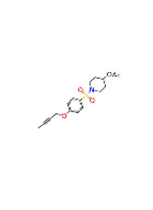 CC#CCOc1ccc(S(=O)(=O)N2CCC(OC(C)=O)CC2)cc1